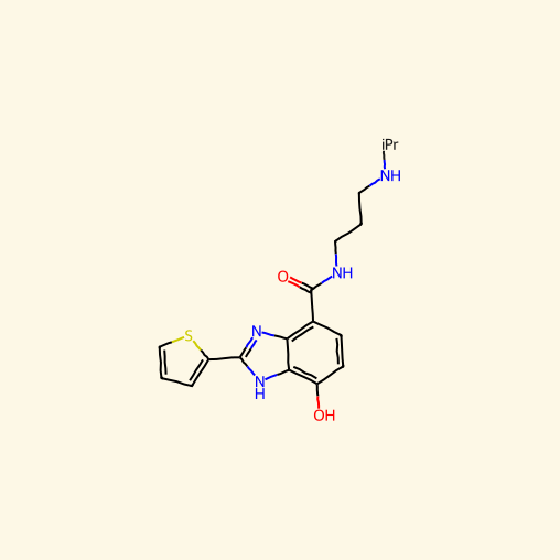 CC(C)NCCCNC(=O)c1ccc(O)c2[nH]c(-c3cccs3)nc12